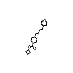 O=C(OC1CCC1)N1CCC(CCCCc2ccncc2)CC1